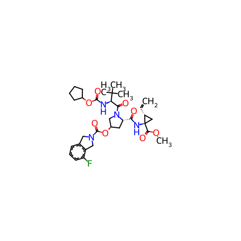 C=C[C@@H]1C[C@]1(NC(=O)[C@@H]1C[C@@H](OC(=O)N2Cc3cccc(F)c3C2)CN1C(=O)[C@@H](NC(=O)OC1CCCC1)C(C)(C)C)C(=O)OC